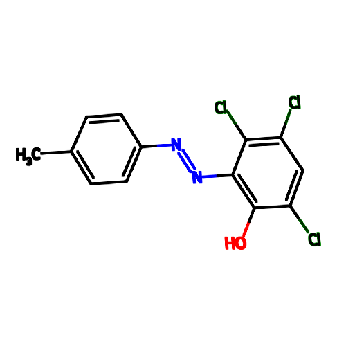 Cc1ccc(N=Nc2c(O)c(Cl)cc(Cl)c2Cl)cc1